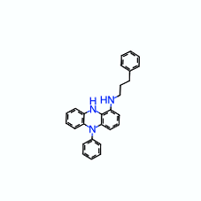 c1ccc(CCCNc2cccc3c2Nc2ccccc2N3c2ccccc2)cc1